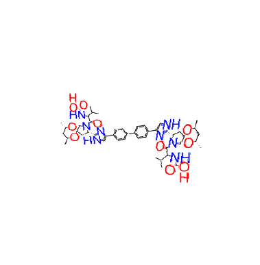 CC(C)[C@H](NC(=O)O)C(=O)N1CC2(C[C@H]1c1nc(-c3ccc(-c4ccc(-c5c[nH]c([C@@H]6CC7(CN6C(=O)[C@@H](NC(=O)O)C(C)C)O[C@@H](C)C[C@H](C)O7)n5)cc4)cc3)c[nH]1)O[C@@H](C)C[C@H](C)O2